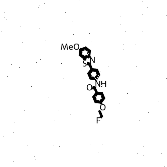 COc1ccc2nc(-c3ccc(NC(=O)c4ccc(OCCF)cc4)cc3)sc2c1